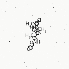 Cc1cc(Cl)ccc1NS(=O)(=O)c1cc(-c2sc(NC(=O)CC3CCOCC3)nc2C)cnc1C